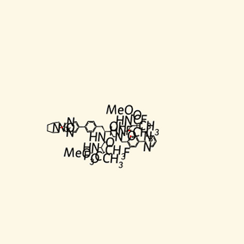 COC(=O)NC(C(=O)N[C@@H](Cc1ccc(-c2cnc(N3CC4CCC(C3)N4C3COC3)nc2)cc1)[C@@H](O)CN(Cc1c(F)cc(-c2ncccn2)cc1F)NC(=O)[C@@H](NC(=O)OC)C(C)(C)C(F)(F)F)C(C)(C)C(F)(F)F